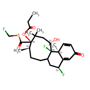 CCC(=O)O[C@]1(C(=O)SCF)[C@H](C)CCC2C[C@H](F)C3=CC(=O)C=C[C@]3(C)[C@@]2(F)[C@@H](O)CC1(C)C